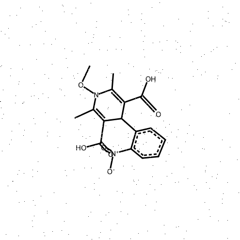 CON1C(C)=C(C(=O)O)C(c2ccccc2[N+](=O)[O-])C(C(=O)O)=C1C